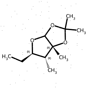 CC[C@H]1OC2OC(C)(C)O[C@]2(C)[C@@H]1C